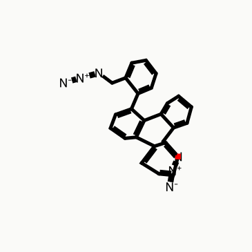 [N-]=[N+]=NCc1ccccc1-c1cccc(-c2ccccc2)c1-c1ccccc1CN=[N+]=[N-]